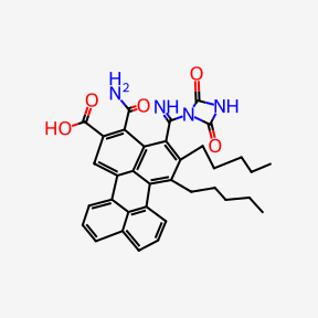 CCCCCc1c(C(=N)N2C(=O)NC2=O)c2c(C(N)=O)c(C(=O)O)cc3c4cccc5cccc(c(c1CCCCC)c23)c54